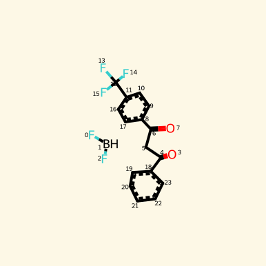 FBF.O=C(CC(=O)c1ccc(C(F)(F)F)cc1)c1ccccc1